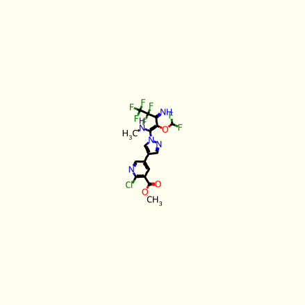 CN/C(=C(/OC(F)F)C(=N)C(F)(F)C(F)(F)F)n1cc(-c2cnc(Cl)c(C(=O)OC)c2)cn1